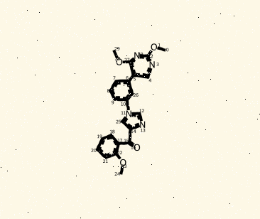 COc1ncc(-c2cccc(-n3cnc(C(=O)c4ccccc4OC)c3)c2)c(OC)n1